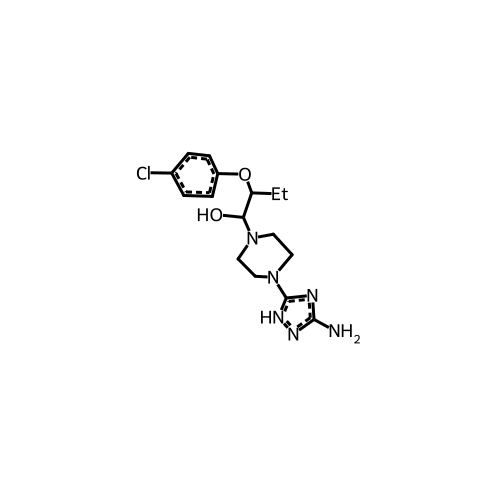 CCC(Oc1ccc(Cl)cc1)C(O)N1CCN(c2nc(N)n[nH]2)CC1